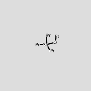 CC[O][Sn]([CH](C)C)([CH](C)C)[CH](C)C